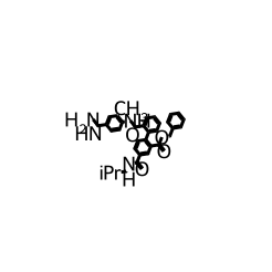 Cc1cc(C(=N)N)ccc1NC(=O)c1ccccc1-c1ccc(C(=O)NCC(C)C)cc1C(=O)OCc1ccccc1